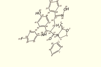 C=C1OC[C@H](c2ccccc2)N1C(=O)C(CC/C(=N/O)c1ccc(F)cc1)C(Nc1ccc(F)cc1)c1ccc(O)cc1